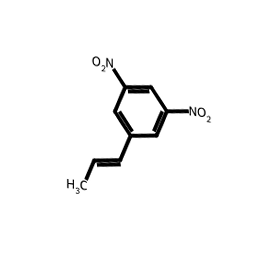 CC=Cc1cc([N+](=O)[O-])cc([N+](=O)[O-])c1